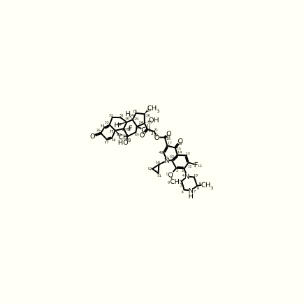 COc1c(N2CCNC(C)C2)c(F)cc2c(=O)c(C(=O)OCC(=O)[C@]3(O)[C@H](C)C[C@@H]4[C@H]5CCC6=CC(=O)C=C[C@@]6(C)[C@]5(F)[C@H](O)C[C@]43C)cn(C3CC3)c12